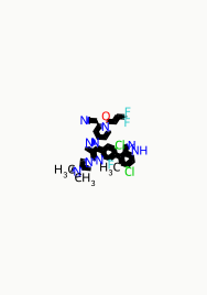 Cc1c(Cl)cc2[nH]ncc2c1-c1c(Cl)cc2c(nc(N3CC(N(C)C)C3)c3cnn([C@H]4CCN(C(=O)/C=C/C(F)F)[C@H](CC#N)C4)c32)c1F